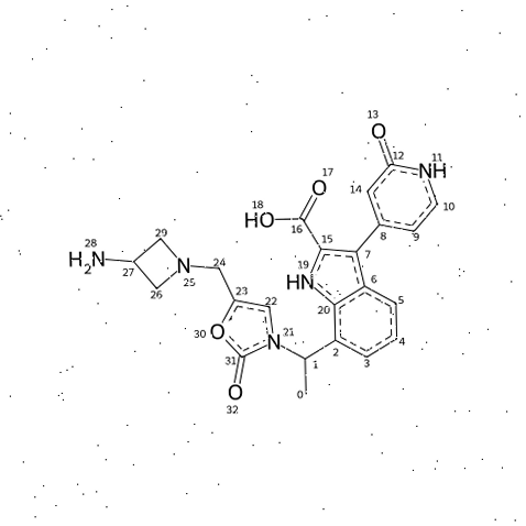 CC(c1cccc2c(-c3cc[nH]c(=O)c3)c(C(=O)O)[nH]c12)n1cc(CN2CC(N)C2)oc1=O